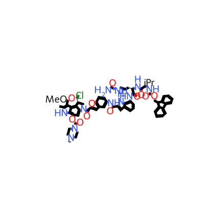 COC(=O)c1c(C)[nH]c2c(OC(=O)N3CCN(C)CC3)cc3c(c12)[C@H](CCl)CN3C(=O)c1cc2cc(NC(=O)c3cc4cccc(NC(=O)[C@H](CCCNC(N)=O)NC(=O)[C@@H](NC(=O)OCC5c6ccccc6-c6ccccc65)C(C)C)c4[nH]3)ccc2o1